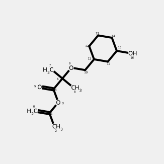 C=C(C)OC(=O)C(C)(C)OCC1CCCC(O)C1